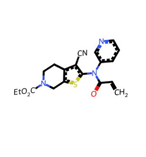 C=CC(=O)N(c1cccnc1)c1sc2c(c1C#N)CCN(C(=O)OCC)C2